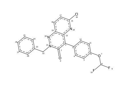 O=c1c(-c2ccc(OC(F)F)cc2)c2nc(Cl)ccc2nn1Cc1ccccc1